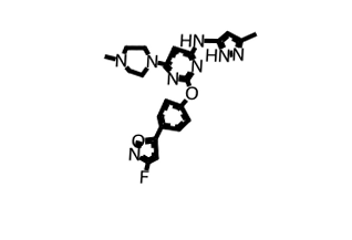 Cc1cc(Nc2cc(N3CCN(C)CC3)nc(Oc3ccc(-c4cc(F)no4)cc3)n2)[nH]n1